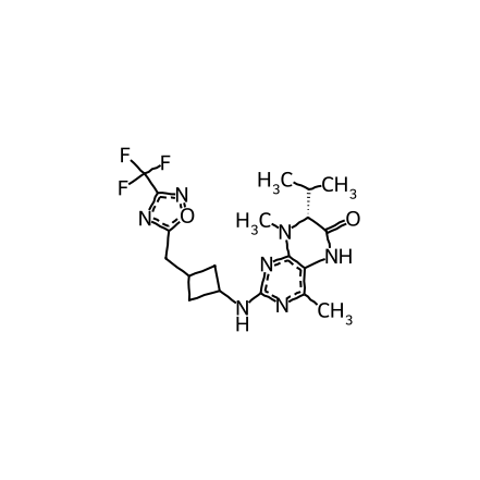 Cc1nc(NC2CC(Cc3nc(C(F)(F)F)no3)C2)nc2c1NC(=O)[C@@H](C(C)C)N2C